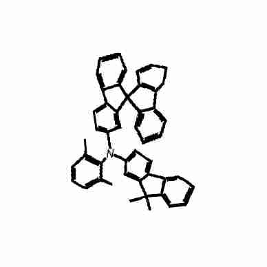 Cc1cccc(C)c1N(c1ccc2c(c1)C(C)(C)c1ccccc1-2)c1ccc2c(c1)C1(C3=C(CCC=C3)c3ccccc31)c1ccccc1-2